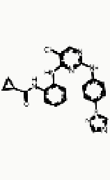 O=C(Nc1ccccc1Nc1nc(Nc2ccc(-n3cncn3)cc2)ncc1Cl)C1CC1